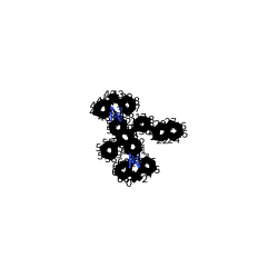 CC1(C)c2ccccc2N(c2ccc3c(-c4cccc(-c5ccc6ccccc6c5)c4)c4cc(N5c6ccccc6C(C)(C)c6ccccc65)ccc4c(-c4ccccc4)c3c2)c2ccccc21